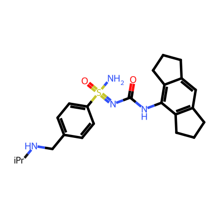 CC(C)NCc1ccc(S(N)(=O)=NC(=O)Nc2c3c(cc4c2CCC4)CCC3)cc1